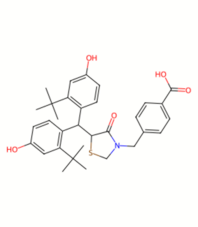 CC(C)(C)c1cc(O)ccc1C(c1ccc(O)cc1C(C)(C)C)C1SCN(Cc2ccc(C(=O)O)cc2)C1=O